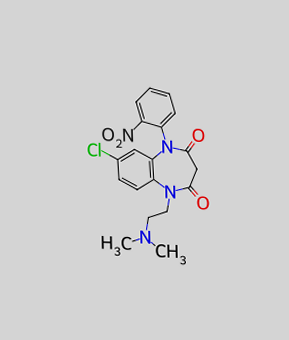 CN(C)CCN1C(=O)CC(=O)N(c2ccccc2[N+](=O)[O-])c2cc(Cl)ccc21